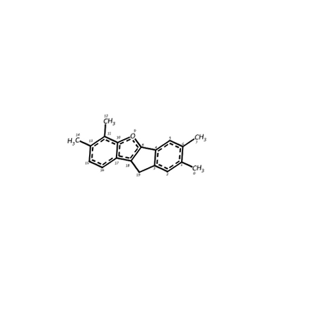 Cc1cc2c(cc1C)-c1oc3c(C)c(C)ccc3c1C2